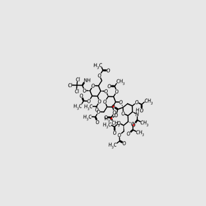 COC(=O)[C@@]1(OC2C(OC(C)=O)[C@H](O[C@@H]3C(COC(C)=O)O[C@H](OC(=N)C(Cl)(Cl)Cl)C(OC(C)=O)C3OC(C)=O)OC(COC(C)=O)[C@@H]2OC(C)=O)CC(OC(C)=O)[C@@H](NC(C)=O)C([C@H](OC(C)=O)[C@@H](COC(C)=O)OC(C)=O)O1